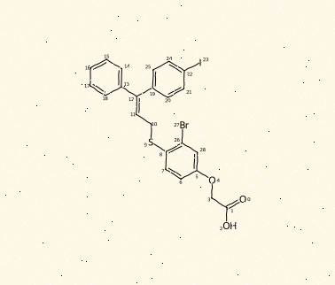 O=C(O)COc1ccc(SC/C=C(/c2ccccc2)c2ccc(I)cc2)c(Br)c1